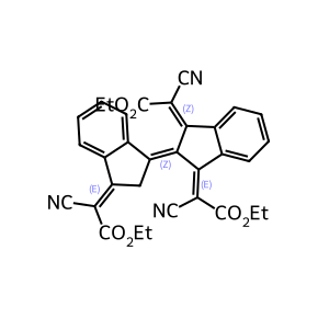 CCOC(=O)\C(C#N)=C1C(=C2/C/C(=C(/C#N)C(=O)OCC)c3ccccc32)/C(=C(\C#N)C(=O)OCC)c2ccccc2/1